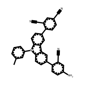 Cc1cccc(-n2c3ccc(-c4ccc(N)cc4C#N)cc3c3cc(-c4ccc(C#N)cc4C#N)ccc32)c1